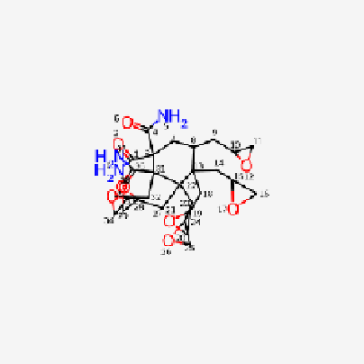 NC(=O)C1(C(N)=O)CC(CC2CO2)C(CC2CO2)(CC2CO2)C(CC2CO2)(CC2CO2)C1(CC1CO1)C(N)=O